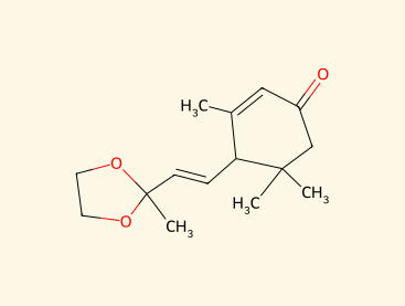 CC1=CC(=O)CC(C)(C)C1C=CC1(C)OCCO1